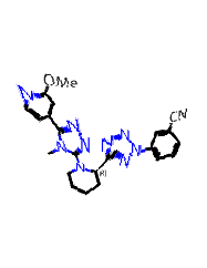 COc1cc(-c2nnc(N3CCCC[C@@H]3c3nnn(-c4cccc(C#N)c4)n3)n2C)ccn1